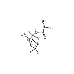 CC1(OC(=O)C(F)F)CC2CC(C1O)C2(C)C